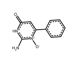 Nc1[nH]c(=O)cc(-c2ccccc2)[n+]1[O-]